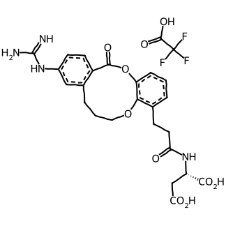 N=C(N)Nc1ccc2c(c1)CCCOc1c(CCC(=O)N[C@@H](CC(=O)O)C(=O)O)cccc1OC2=O.O=C(O)C(F)(F)F